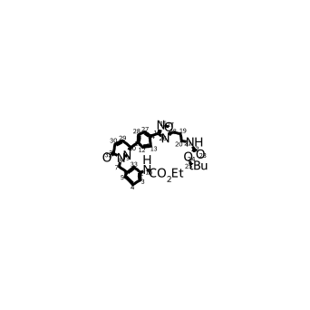 CCOC(=O)Nc1cccc(Cn2nc(-c3ccc(-c4noc(CCNC(=O)OC(C)(C)C)n4)cc3)ccc2=O)c1